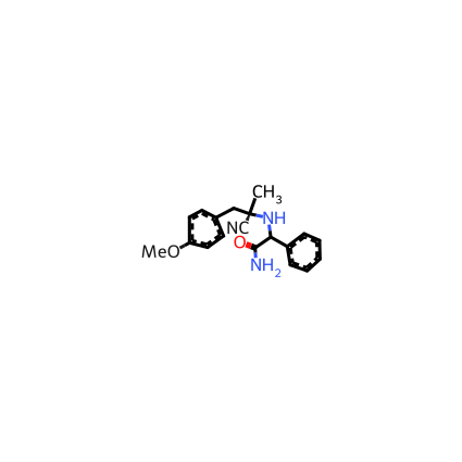 COc1ccc(C[C@@](C)(C#N)NC(C(N)=O)c2ccccc2)cc1